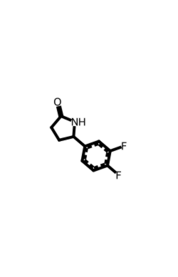 O=C1CCC(c2ccc(F)c(F)c2)N1